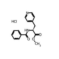 COC(=O)[C@H](Cc1ccncc1)NC(=O)c1ccccc1.Cl